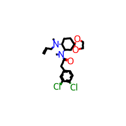 C=CCN(C)[C@@H]1CCC2(C[C@H]1N(C)C(=O)Cc1ccc(Cl)c(Cl)c1)OCCO2